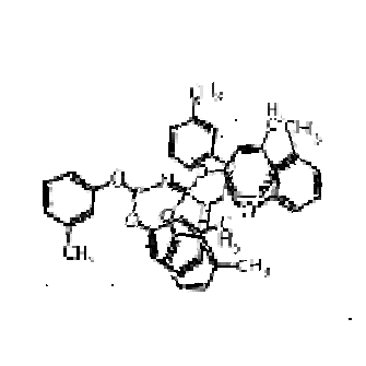 Cc1cccc(OP(N=P(NP(Oc2cccc(C)c2)Oc2cccc(C)c2)(Oc2cccc(C)c2)Oc2cccc(C)c2)Oc2cccc(C)c2)c1